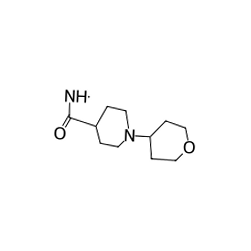 [NH]C(=O)C1CCN(C2CCOCC2)CC1